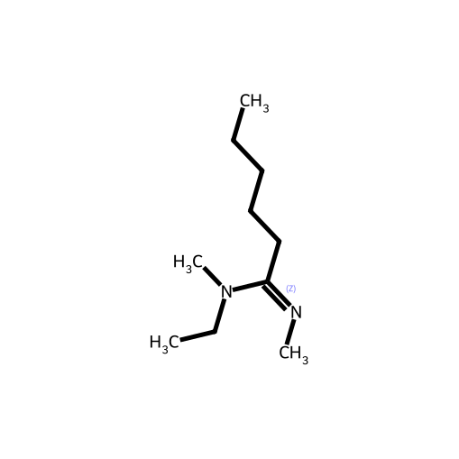 CCCCC/C(=N/C)N(C)CC